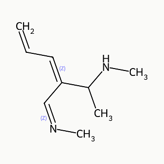 C=C/C=C(\C=N/C)C(C)NC